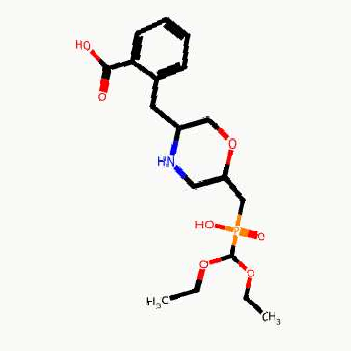 CCOC(OCC)P(=O)(O)CC1CNC(Cc2ccccc2C(=O)O)CO1